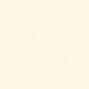 F[B-](F)(F)F.O=C(C[n+]1cccc2ccccc21)c1ccccc1